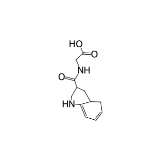 O=C(O)CNC(=O)C1CNC2=CC=CCC2C1